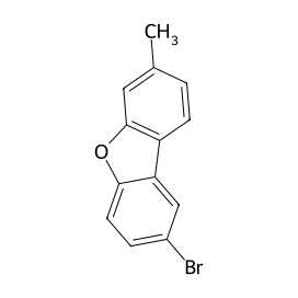 Cc1ccc2c(c1)oc1ccc(Br)cc12